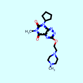 CN1CCN(CCOc2nnc3c(n2)c(=O)n(C)c(=O)n3C2CCCC2)CC1